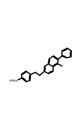 CCCCCCc1ccc(CCc2ccc3c(F)c(-c4ccccc4)ccc3c2)cc1